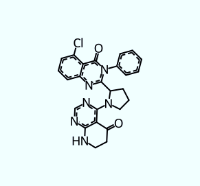 O=C1CCNc2ncnc(N3CCCC3c3nc4cccc(Cl)c4c(=O)n3-c3ccccc3)c21